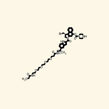 CCC(=O)NCCOCCOCCOCCOCCC(=O)N/N=C(\C)c1ccc2[nH]c(C(=O)N3C[C@@H](CBr)c4c3cc(OC(=O)N3CCNCC3)c3ccccc43)cc2c1